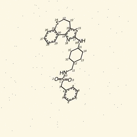 O=S(=O)(Cc1ccccc1)NCC1CCC(Nc2nc3c(s2)CCSc2ccccc2-3)CC1